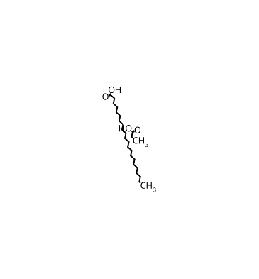 CCC(=O)O.CCCCCCCCCCCCCCCCCCCCCC(=O)O